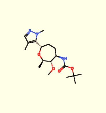 CO[C@H]1[C@H](NC(=O)OC(C)(C)C)CC[C@@H](c2c(C)cnn2C)O[C@@H]1C